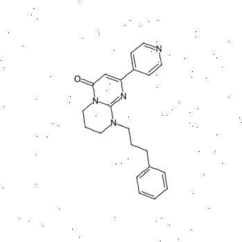 O=c1cc(-c2ccncc2)nc2n1CCCN2CCCc1ccccc1